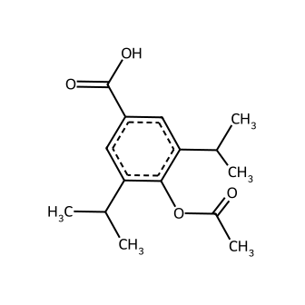 CC(=O)Oc1c(C(C)C)cc(C(=O)O)cc1C(C)C